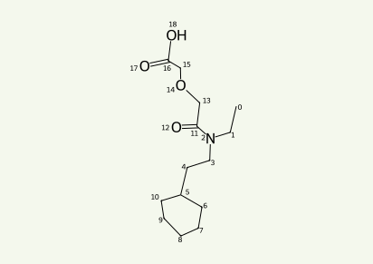 CCN(CCC1CCCCC1)C(=O)COCC(=O)O